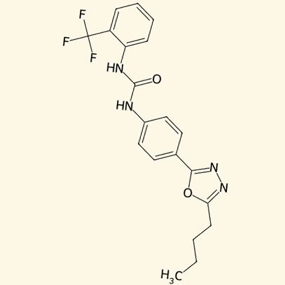 CCCCc1nnc(-c2ccc(NC(=O)Nc3ccccc3C(F)(F)F)cc2)o1